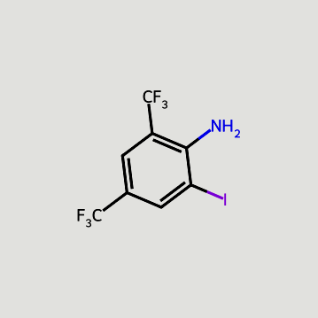 Nc1c(I)cc(C(F)(F)F)cc1C(F)(F)F